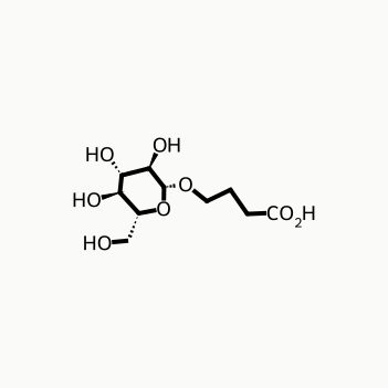 O=C(O)CCCO[C@@H]1O[C@H](CO)[C@@H](O)[C@H](O)[C@H]1O